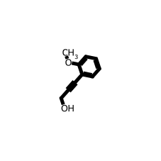 COc1ccccc1C#CCO